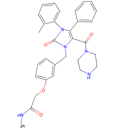 Cc1ccccc1-n1c(-c2ccccc2)c(C(=O)N2CCNCC2)n(Cc2cccc(OCC(=O)NC(C)C)c2)c1=O